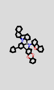 c1ccc(-c2cc3c4c(c2)-n2c5ccc6ccccc6c5c5cccc(c52)B4N(c2cccc4c2oc2ccccc24)c2cc4c(cc2-3)Oc2ccccc2O4)cc1